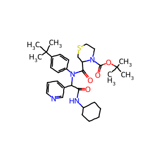 CC(C)(C)OC(=O)N1CCSCC1C(=O)N(c1ccc(C(C)(C)C)cc1)C(C(=O)NC1CCCCC1)c1cccnc1